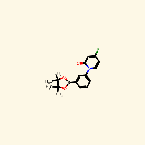 CC1(C)OB(c2cccc(-n3ccc(F)cc3=O)c2)OC1(C)C